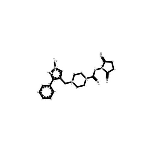 CC(C)n1cc(CN2CCN(C(=O)ON3C(=O)CCC3=O)CC2)c(-c2ccccc2)n1